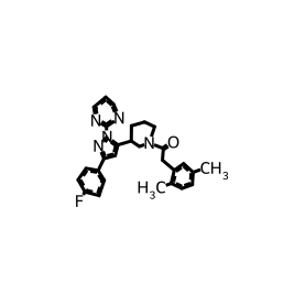 Cc1ccc(C)c(CC(=O)N2CCCC(c3cc(-c4ccc(F)cc4)nn3-c3ncccn3)C2)c1